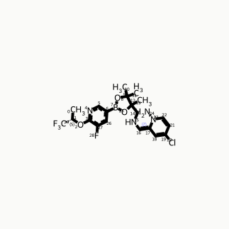 C[C@H](Oc1ncc(B2OC(C)(C)C(C)(CN/C=C3/C=C(Cl)C=CN3N)O2)cc1F)C(F)(F)F